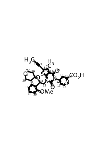 CC#Cc1sc2c(c1C)c(=O)n(-c1ccnc(C(=O)O)c1)c(=O)n2CC(OC1CCOCC1)c1ccccc1OC